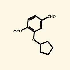 COc1ccc([C]=O)cc1OC1CCCC1